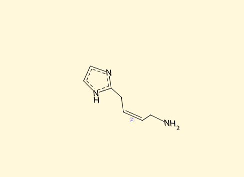 NC/C=C\Cc1ncc[nH]1